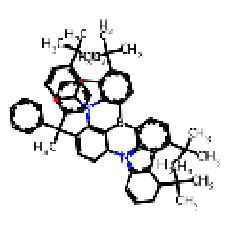 CC(C)(C)C1=C2c3c(C(C)(C)C)ccc4c3N(C3=C5B4c4ccc(C(C)(C)C)c6c7c(n(c46)C5CC=C3C(C)(c3ccccc3)c3ccccc3)C=CCC7C(C)(C)C)C2CC=C1